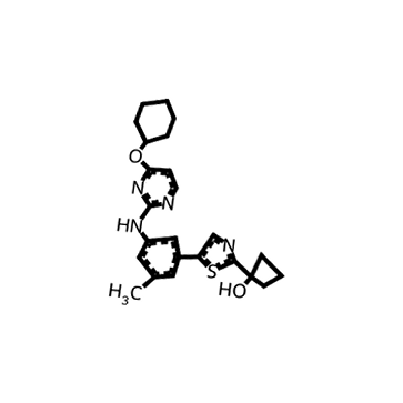 Cc1cc(Nc2nccc(OC3CCCCC3)n2)cc(-c2cnc(C3(O)CCC3)s2)c1